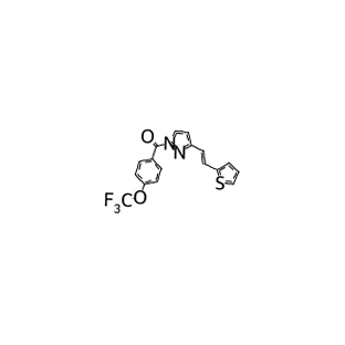 O=C(c1ccc(OC(F)(F)F)cc1)n1ccc(C=Cc2cccs2)n1